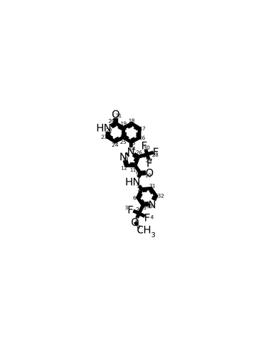 COC(F)(F)c1cc(NC(=O)c2cnn(-c3cccc4c(=O)[nH]ccc34)c2C(F)(F)F)ccn1